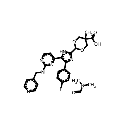 CC1(C(=O)O)COC(c2nc(-c3ccc(F)cc3)c(-c3ccnc(NCc4ccncc4)n3)[nH]2)OC1.CN(C)C=O